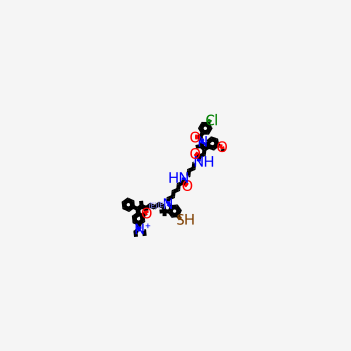 CC[N+](CC)=c1ccc2c(-c3ccccc3)c(C)c(/C=C/C=C3/N(CCCCCC(=O)NCCCCNC(=O)Cc4c(C)n(C(=O)c5ccc(Cl)cc5)c5ccc(OC)cc45)c4ccc(S)cc4C3(C)C)oc-2c1